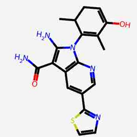 CC1=C(n2c(N)c(C(N)=O)c3cc(-c4nccs4)cnc32)C(C)CC=C1O